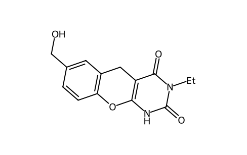 CCn1c(=O)[nH]c2c(c1=O)Cc1cc(CO)ccc1O2